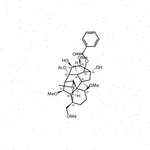 COC[C@@]12CC[C@H](OC)[C@]34C(C([C@H](OC)[C@H]13)[C@]1(OC(C)=O)[C@H]3[C@@H](OC(=O)c5ccccc5)[C@](O)(C[C@H]34)[C@H](OC)[C@@H]1O)N(C)C2